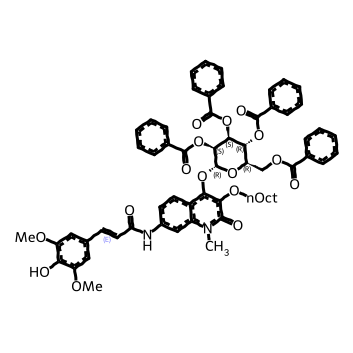 CCCCCCCCOc1c(O[C@H]2O[C@H](COC(=O)c3ccccc3)[C@@H](OC(=O)c3ccccc3)[C@H](OC(=O)c3ccccc3)[C@@H]2OC(=O)c2ccccc2)c2ccc(NC(=O)/C=C/c3cc(OC)c(O)c(OC)c3)cc2n(C)c1=O